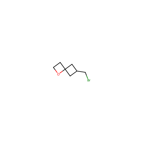 BrCC1CC2(CCO2)C1